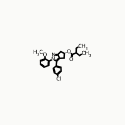 CCC(CC)C(=O)O[C@H]1Cc2nn(-c3ccccc3OC)c(-c3ccc(Cl)cc3)c2C1